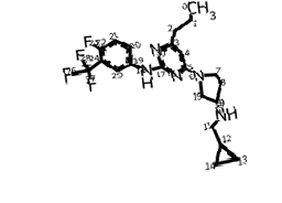 CCCc1cc(N2CC[C@H](NCC3CC3)C2)nc(Nc2ccc(F)c(C(F)(F)F)c2)n1